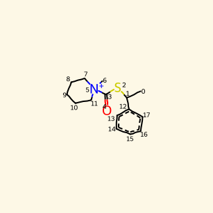 CC(SC(=O)[N+]1(C)CCCCC1)c1ccccc1